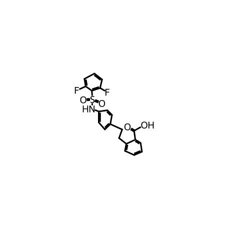 O=C(O)c1ccccc1CCc1ccc(NS(=O)(=O)c2c(F)cccc2F)cc1